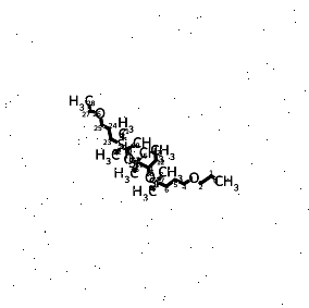 CCCOCCC[Si](C)(C)OC(CC)[Si](C)(C)OC(C)[Si](C)(C)CCCOCC